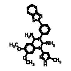 COc1cc2c(cc1OC)N(c1cc(C)[nH]n1)C(N)N(c1cccc(-c3nc4ccccc4s3)c1)C2N